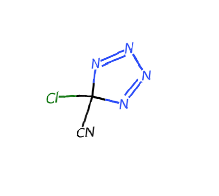 N#CC1(Cl)N=NN=N1